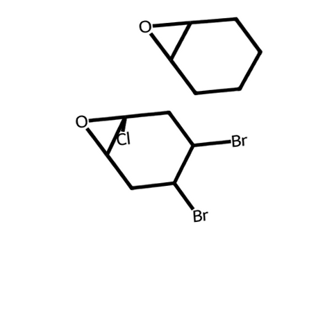 C1CCC2OC2C1.ClC12CC(Br)C(Br)CC1O2